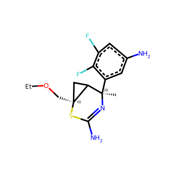 CCOC[C@]12CC1[C@@](C)(c1cc(N)cc(F)c1F)N=C(N)S2